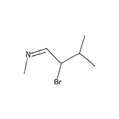 C/N=C\C(Br)C(C)C